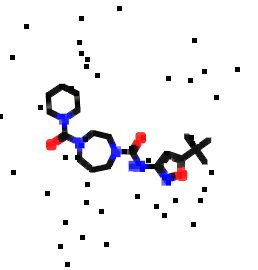 CC(C)(C)c1cc(NC(=O)N2CCCN(C(=O)N3CCCCC3)CC2)no1